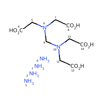 N.N.N.N.O=C(O)CN(CC(=O)O)CN(CC(=O)O)CC(=O)O